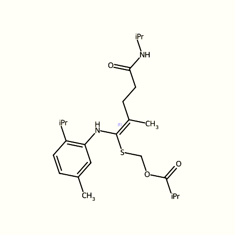 C/C(CCC(=O)NC(C)C)=C(/Nc1cc(C)ccc1C(C)C)SCOC(=O)C(C)C